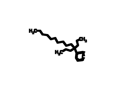 CCCCCCCCCCC(CCC)(CCC)c1[c]cccc1